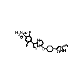 CC(C)N1C=C(C2CCC(Oc3ccnc4c(-c5cc(F)c(S(N)(=O)=O)cc5F)cnn34)CC2)ON1